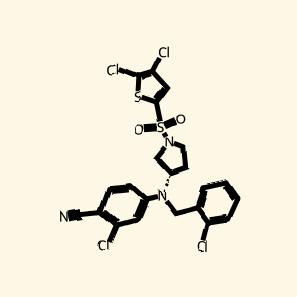 N#Cc1ccc(N(Cc2ccccc2Cl)[C@H]2CCN(S(=O)(=O)c3cc(Cl)c(Cl)s3)C2)cc1Cl